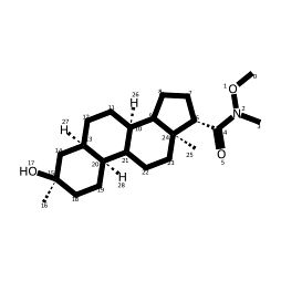 CON(C)C(=O)[C@H]1CCC2[C@@H]3CC[C@@H]4C[C@](C)(O)CC[C@@H]4C3CC[C@@]21C